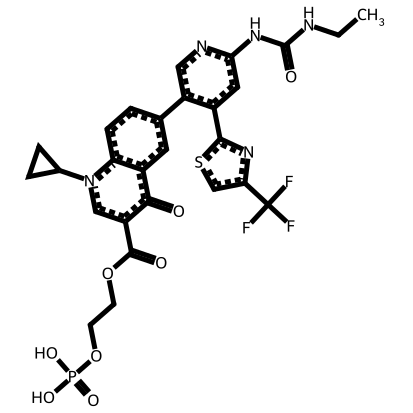 CCNC(=O)Nc1cc(-c2nc(C(F)(F)F)cs2)c(-c2ccc3c(c2)c(=O)c(C(=O)OCCOP(=O)(O)O)cn3C2CC2)cn1